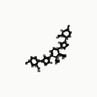 Cc1ccc(-c2ccc(C3=CC=C(c4ccc(-c5ccc(C)cc5F)s4)C(=N)C3=N)s2)c(F)c1